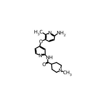 Cc1nc(N)ccc1Oc1ccnc(NC(=O)C2CCN(C)CC2)c1